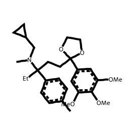 CCC(CCC1(c2cc(OC)c(OC)c(OC)c2)OCCO1)(c1ccc(C)cc1)N(C)CC1CC1